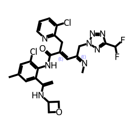 C=C(NC1COC1)c1cc(C)cc(Cl)c1NC(=O)/C(=C/C(Cn1nnc(C(F)F)n1)=N\C)Cc1ncccc1Cl